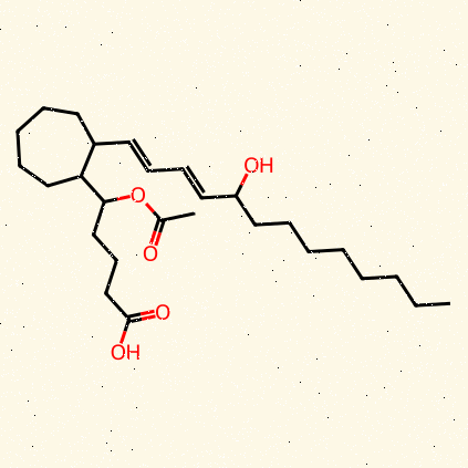 CCCCCCCCC(O)/C=C/C=C/C1CCCCCC1C(CCCC(=O)O)OC(C)=O